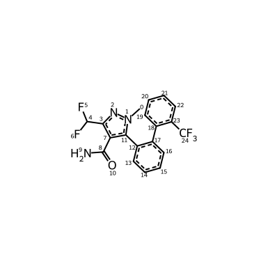 Cn1nc(C(F)F)c(C(N)=O)c1-c1ccccc1-c1ccccc1C(F)(F)F